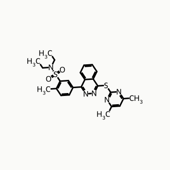 CCN(CC)S(=O)(=O)c1cc(-c2nnc(Sc3nc(C)cc(C)n3)c3ccccc23)ccc1C